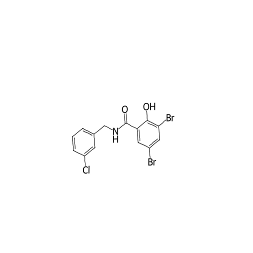 O=C(NCc1cccc(Cl)c1)c1cc(Br)cc(Br)c1O